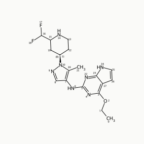 CCOc1nc(Nc2cnn([C@@H]3CCNC(C(F)F)C3)c2C)nc2[nH]ccc12